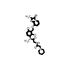 Cc1nc2c(OCc3c(Cl)ccc(N(C)C(=O)CNC(=O)CN4CCCCC4)c3Cl)cccn2c1Br